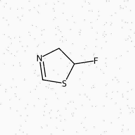 FC1CN=CS1